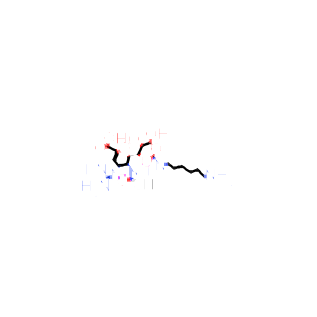 CC(=O)N[C@@H]1[C@@H](NC(=N)N)C=C(C(=O)O)O[C@H]1C(OC(=O)NCCCCCCN)C(O)CO